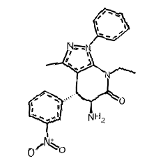 CCN1C(=O)[C@@H](N)[C@H](c2cccc([N+](=O)[O-])c2)c2c(C)nn(-c3ccccc3)c21